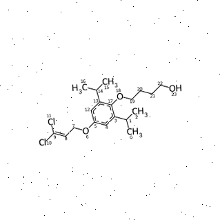 CC(C)c1cc(OCC=C(Cl)Cl)cc(C(C)C)c1OCCCCO